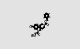 CC(C)(C)OC(=O)N1CC2(CCN(C(=O)OCc3ccccc3)CC2)c2ccc(Cl)cc21